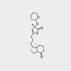 C[C@H](CCC1=C[C@](C)(OC2CCCCO2)C(=O)O1)[C@H]1CCC2C(=O)CCC[C@@]21C